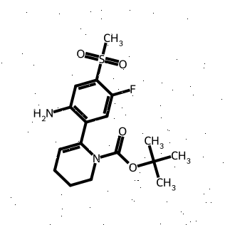 CC(C)(C)OC(=O)N1CCCC=C1c1cc(F)c(S(C)(=O)=O)cc1N